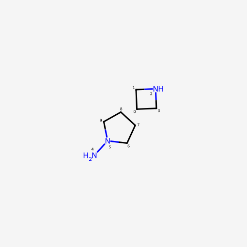 C1CNC1.NN1CCCC1